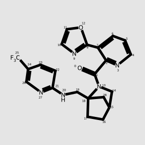 O=C(c1ncccc1-c1ncco1)N1CC2CCC1(CNc1ccc(C(F)(F)F)cn1)C2